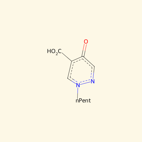 CCCCCn1cc(C(=O)O)c(=O)cn1